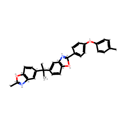 Cc1ccc(Oc2ccc(-c3nc4cc(C(C)(c5ccc6oc(C)nc6c5)C(F)(F)F)ccc4o3)cc2)cc1